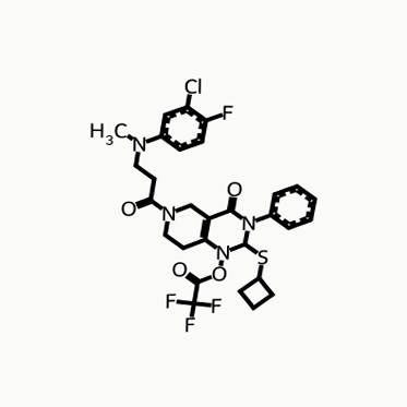 CN(CCC(=O)N1CCC2=C(C1)C(=O)N(c1ccccc1)C(SC1CCC1)N2OC(=O)C(F)(F)F)c1ccc(F)c(Cl)c1